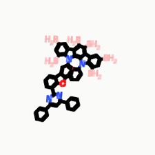 Bc1cc(B)c2c(c1)c1c(B)c(B)c3c4cc(B)cc(B)c4n(-c4ccc5oc6c(-c7nc(-c8ccccc8)cc(-c8ccccc8)n7)cccc6c5c4)c3c1n2-c1ccccc1